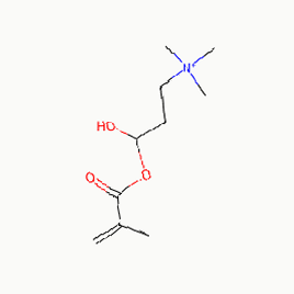 C=C(C)C(=O)OC(O)CC[N+](C)(C)C